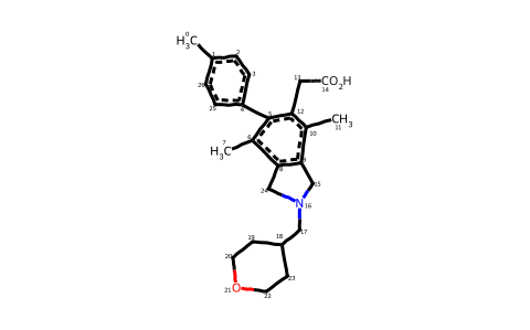 Cc1ccc(-c2c(C)c3c(c(C)c2CC(=O)O)CN(CC2CCOCC2)C3)cc1